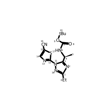 CCc1nc([C@H](C)NC(=O)OC(C)(C)C)n(-c2ncc(C#N)s2)n1